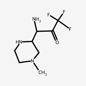 CN1CCNC(C(N)C(=O)C(F)(F)F)C1